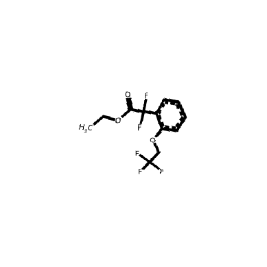 CCOC(=O)C(F)(F)c1ccccc1OCC(F)(F)F